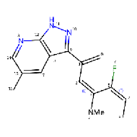 C=C(/C=C(NC)\C(F)=C/C)c1n[nH]c2ncc(C)cc12